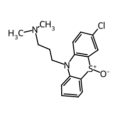 CN(C)CCCN1c2ccccc2[S+]([O-])c2cc(Cl)ccc21